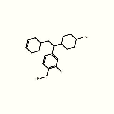 CCCCC1CCC(C(CC2CC=CCC2)c2ccc(OCCC)c(F)c2)CC1